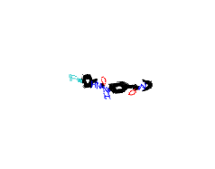 O=C(NCc1ccc(F)cc1)Nc1ccc(CC(=O)N2CCCC2)cc1